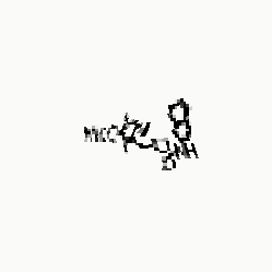 COc1c(C)cnc(COC(=O)Nc2ccc3ccccc3c2)c1C